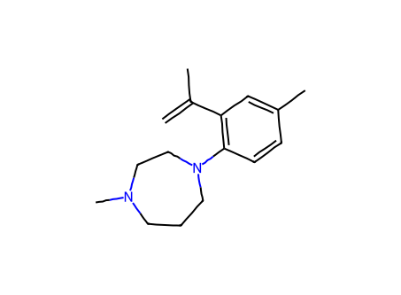 C=C(C)c1cc(C)ccc1N1CCCN(C)CC1